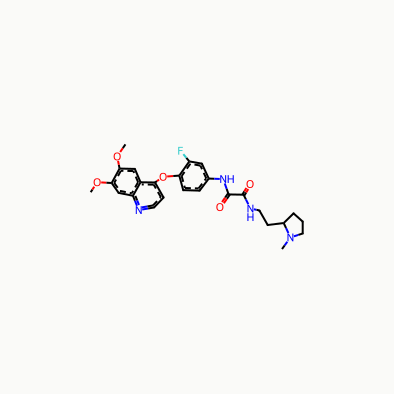 COc1cc2nccc(Oc3ccc(NC(=O)C(=O)NCCC4CCCN4C)cc3F)c2cc1OC